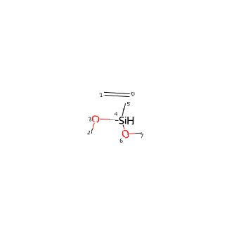 C=C.CO[SiH](C)OC